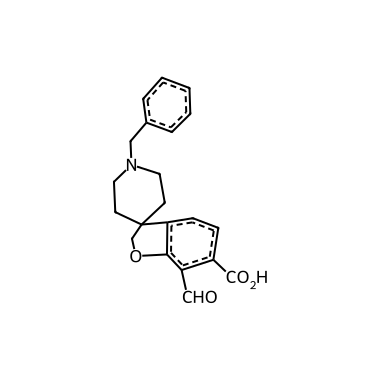 O=Cc1c(C(=O)O)ccc2c1OCC21CCN(Cc2ccccc2)CC1